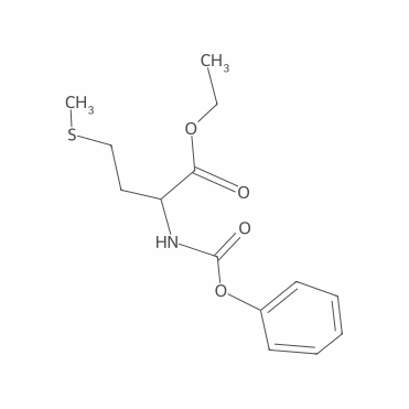 CCOC(=O)C(CCSC)NC(=O)Oc1ccccc1